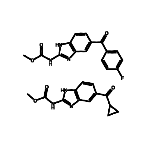 COC(=O)Nc1nc2cc(C(=O)C3CC3)ccc2[nH]1.COC(=O)Nc1nc2cc(C(=O)c3ccc(F)cc3)ccc2[nH]1